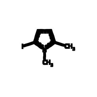 Cc1ccc(I)n1C